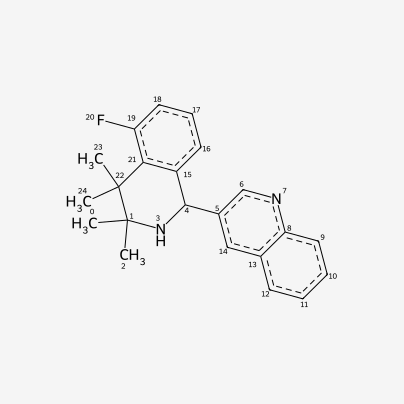 CC1(C)NC(c2cnc3ccccc3c2)c2cccc(F)c2C1(C)C